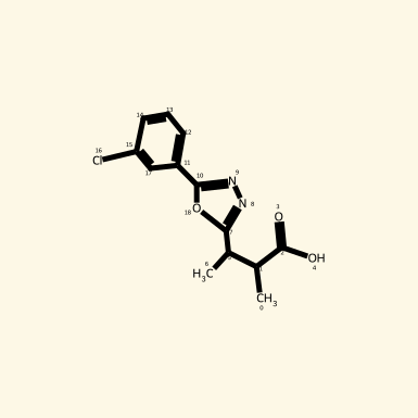 CC(C(=O)O)C(C)c1nnc(-c2cccc(Cl)c2)o1